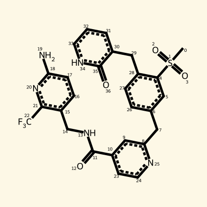 CS(=O)(=O)c1cc(Cc2cc(C(=O)NCc3ccc(N)nc3C(F)(F)F)ccn2)ccc1Cc1ccc[nH]c1=O